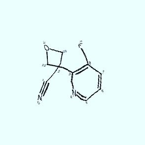 N#CC1(c2ncc[c]c2F)COC1